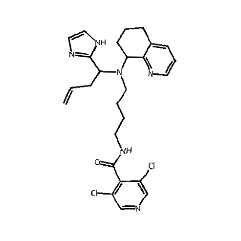 C=CCC(c1ncc[nH]1)N(CCCCNC(=O)c1c(Cl)cncc1Cl)C1CCCc2cccnc21